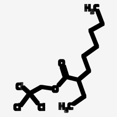 CCCCCCC(CC)C(=O)OCC(Cl)(Cl)Cl